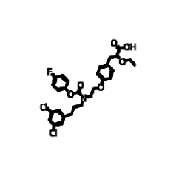 CCOC(Cc1ccc(OCCN(CCCc2cc(Cl)cc(Cl)c2)C(=O)Oc2ccc(F)cc2)cc1)C(=O)O